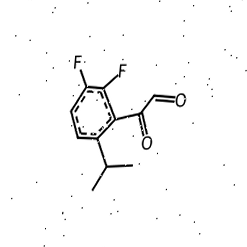 CC(C)c1ccc(F)c(F)c1C(=O)C=O